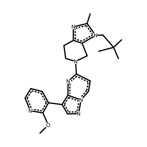 COc1ncccc1-c1cnn2ccc(N3CCc4nc(C)n(CC(C)(C)C)c4C3)nc12